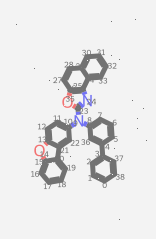 c1ccc(-c2cccc(N(c3ccc4oc5ccccc5c4c3)c3nc4c(ccc5ccccc54)o3)c2)cc1